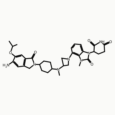 CC(C)Oc1cc2c(cc1N)CN(C1CCC(N(C)C3CN(c4cccc5c4n(C)c(=O)n5C4CCC(=O)NC4=O)C3)CC1)C2=O